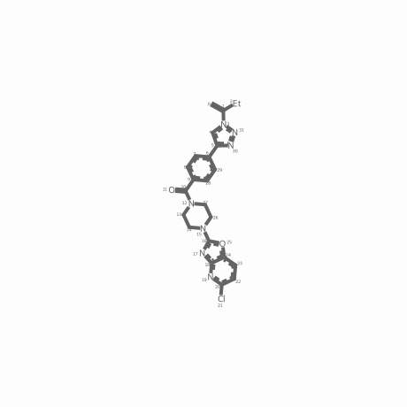 C=C(CC)n1cc(-c2ccc(C(=O)N3CCN(c4nc5nc(Cl)ccc5o4)CC3)cc2)nn1